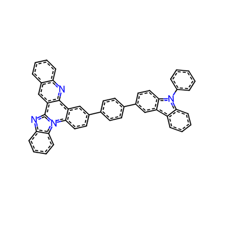 c1ccc(-n2c3ccccc3c3cc(-c4ccc(-c5ccc6c(c5)c5nc7ccccc7cc5c5nc7ccccc7n65)cc4)ccc32)cc1